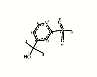 CC(C)(O)c1ccnc(S(C)(=O)=O)c1